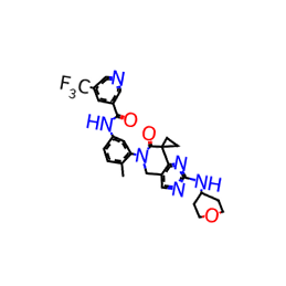 Cc1ccc(NC(=O)c2cncc(C(F)(F)F)c2)cc1N1Cc2cnc(NC3CCOCC3)nc2C2(CC2)C1=O